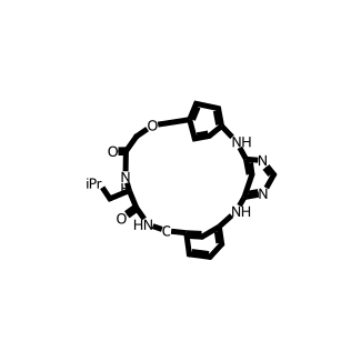 CC(C)CC1NC(=O)COc2ccc(cc2)Nc2cc(ncn2)Nc2cccc(c2)CNC1=O